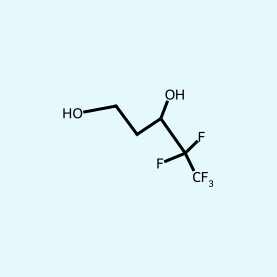 OCCC(O)C(F)(F)C(F)(F)F